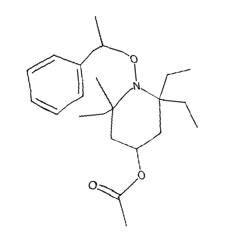 CCC1(CC)CC(OC(C)=O)CC(C)(C)N1OC(C)c1ccccc1